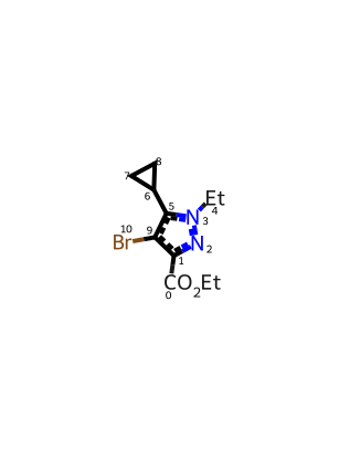 CCOC(=O)c1nn(CC)c(C2CC2)c1Br